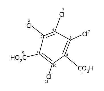 O=C(O)c1c(Cl)c(Cl)c(Cl)c(C(=O)O)c1Cl